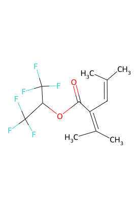 CC(C)=CC(C(=O)OC(C(F)(F)F)C(F)(F)F)=C(C)C